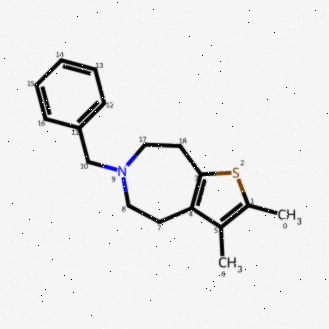 Cc1sc2c(c1C)CCN(Cc1ccccc1)CC2